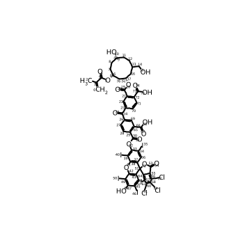 C=C(C)C(=O)O[C@@H]1CC[C@H](O)CCC(CO)C[C@H](OC(=O)c2cc(C(=O)c3ccc(C(=O)Oc4c(I)cc5c(c4I)Oc4c(cc(I)c(O)c4I)C54OC(=O)c5c(Cl)c(Cl)c(Cl)c(Cl)c54)c(C(=O)O)c3)ccc2C(=O)O)C1